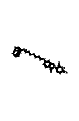 O=C1CCC(N2Cc3cc(SCCCCCCCNC4C5CC6CC(C5)CC4C6)ccc3C2=O)C(=O)N1